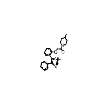 CC1CCN(C(=O)COc2ccccc2-c2[nH]cnc2-c2ccccc2)CC1